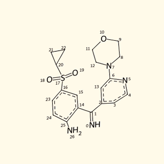 N=C(c1ccnc(N2CCOCC2)c1)c1cc(S(=O)(=O)C2CC2)ccc1N